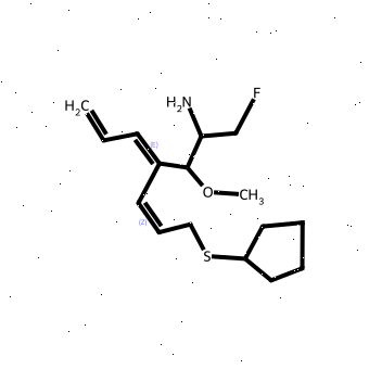 C=C/C=C(\C=C/CSC1CCCC1)C(OC)C(N)CF